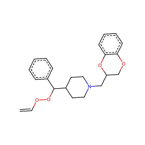 C=COOC(c1ccccc1)C1CCN(CC2COc3ccccc3O2)CC1